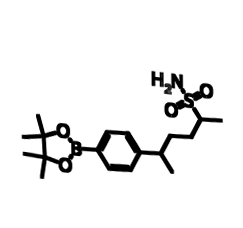 CC(CCC(C)S(N)(=O)=O)c1ccc(B2OC(C)(C)C(C)(C)O2)cc1